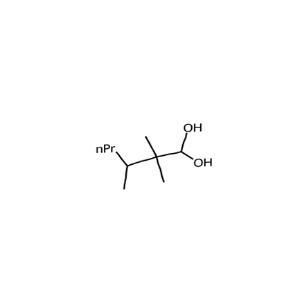 CCCC(C)C(C)(C)C(O)O